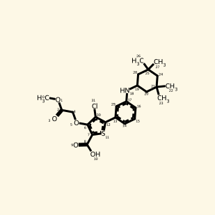 COC(=O)COc1c(C(=O)O)sc(-c2cccc(NC3CC(C)(C)CC(C)(C)C3)c2)c1Cl